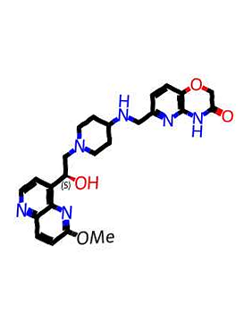 COc1ccc2nccc([C@H](O)CN3CCC(NCc4ccc5c(n4)NC(=O)CO5)CC3)c2n1